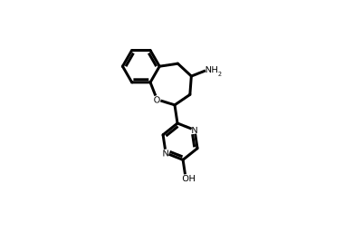 NC1Cc2ccccc2OC(c2cnc(O)cn2)C1